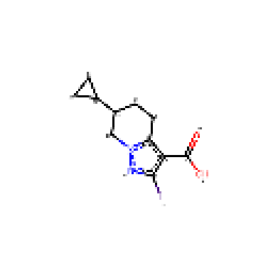 O=C(O)c1c(I)nn2c1CCC(C1CC1)C2